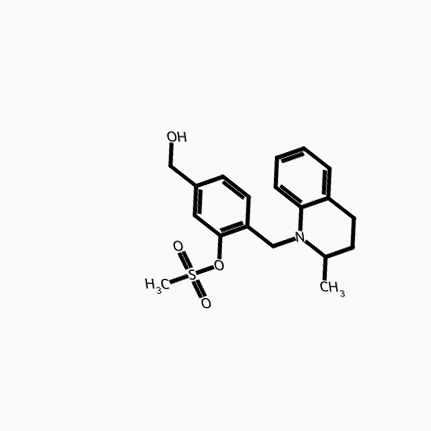 CC1CCc2ccccc2N1Cc1ccc(CO)cc1OS(C)(=O)=O